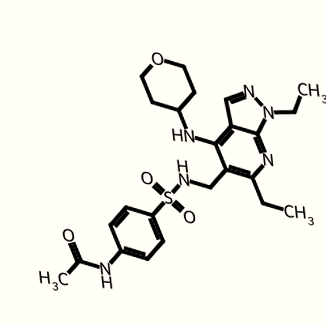 CCc1nc2c(cnn2CC)c(NC2CCOCC2)c1CNS(=O)(=O)c1ccc(NC(C)=O)cc1